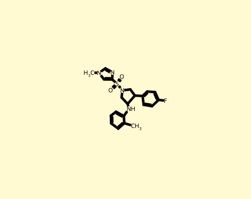 Cc1ccccc1NC1CN(S(=O)(=O)c2cn(C)cn2)CC1c1ccc(F)cc1